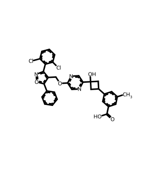 Cc1cc(C(=O)O)cc(C2CC(O)(c3cnc(OCc4c(-c5c(Cl)cccc5Cl)noc4-c4ccccc4)cn3)C2)c1